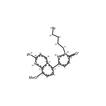 COc1ccc(-c2ccc(=O)n(CCCCBr)n2)c2ccc(C(C)C)nc12